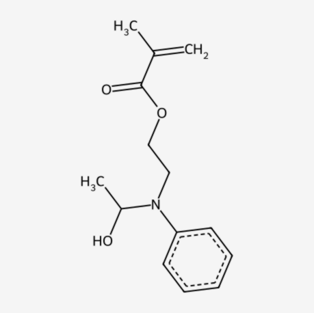 C=C(C)C(=O)OCCN(c1ccccc1)C(C)O